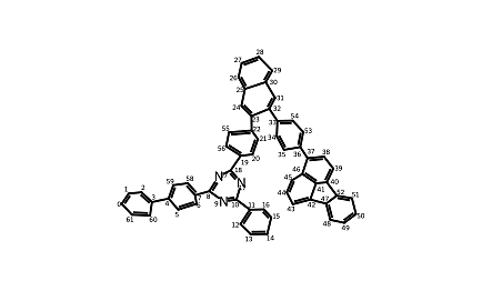 c1ccc(-c2ccc(-c3nc(-c4ccccc4)nc(-c4ccc(-c5cc6ccccc6cc5-c5ccc(-c6ccc7c8c(cccc68)-c6ccccc6-7)cc5)cc4)n3)cc2)cc1